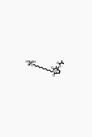 C=C(C)C(=O)OCC12C=CC(O1)C(=O)N(CCCCCCCCCCOP(=O)(O)O)C(=O)C2C